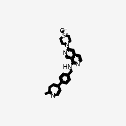 CC1=NC=CC(c2ccc(CNc3nccc4cc(N5CC[S+]([O-])CC5)ncc34)cc2)=CC1